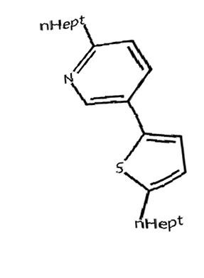 CCCCCCCc1ccc(-c2ccc(CCCCCCC)s2)cn1